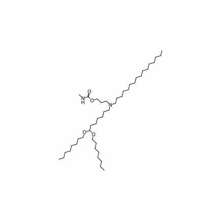 CCCCCCCCCCCCCCCCN(CCCCCCC(OCCCCCCCC)OCCCCCCCC)CCCOC(=O)NC